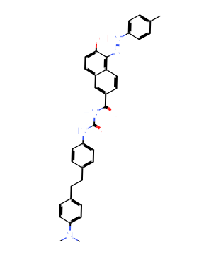 Cc1ccc(N=Nc2c(O)ccc3cc(C(=O)NC(=O)Nc4ccc(CCc5ccc(N(C)C)cc5)cc4)ccc23)cc1